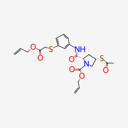 C=CCOC(=O)CSc1cccc(NC(=O)[C@@H]2C[C@H](SC(C)=O)CN2C(=O)OCC=C)c1